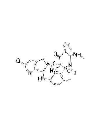 CN1C(=O)C(C)(C)[C@@](C)(c2cc(NC3CCc4cc(Cl)cnc43)ccc2F)N=C1N